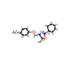 CC(=O)c1ccc(OCc2nc(-c3ccccc3)oc2C)cc1